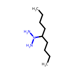 CCCCC(CCCC)N(N)N